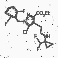 CCOC(=O)c1nn(Cc2c(F)cccc2F)c(Cl)c1CCNC1(C(F)F)CC1